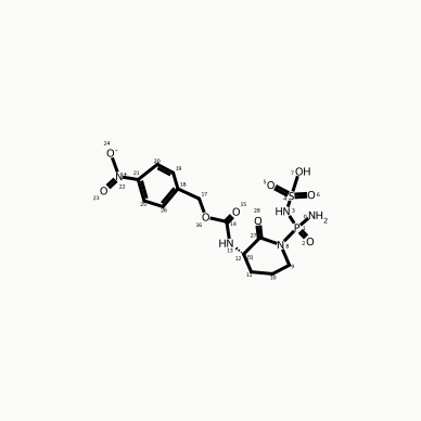 NP(=O)(NS(=O)(=O)O)N1CCC[C@H](NC(=O)OCc2ccc([N+](=O)[O-])cc2)C1=O